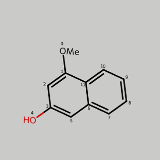 COc1cc(O)cc2ccccc12